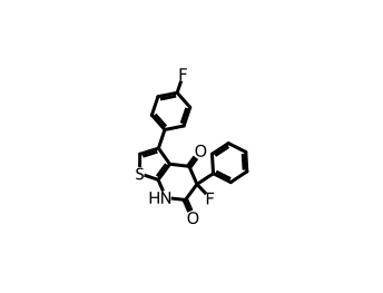 O=C1Nc2scc(-c3ccc(F)cc3)c2C(=O)C1(F)c1ccccc1